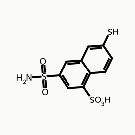 NS(=O)(=O)c1cc(S(=O)(=O)O)c2ccc(S)cc2c1